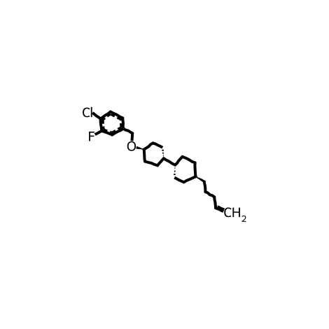 C=CCCC[C@H]1CC[C@H]([C@H]2CC[C@H](OCc3ccc(Cl)c(F)c3)CC2)CC1